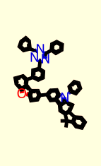 CC1(C)c2ccccc2-c2cc3c(cc21)c1cc(-c2ccc4oc5cccc(-c6cccc(-c7nc(-c8ccccc8)nc(-c8ccccc8)n7)c6)c5c4c2)ccc1n3-c1ccccc1